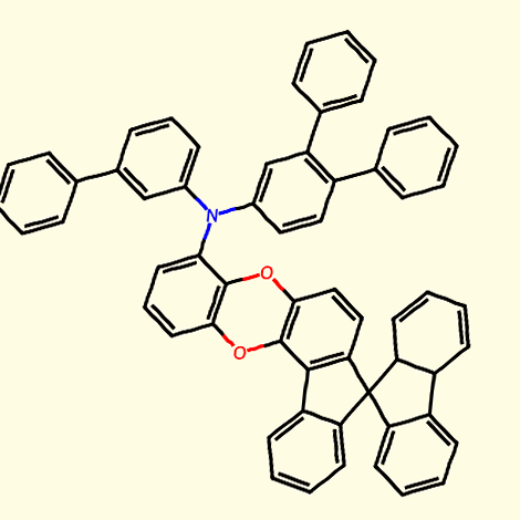 C1=CC2c3ccccc3C3(c4ccccc4-c4c3ccc3c4Oc4cccc(N(c5cccc(-c6ccccc6)c5)c5ccc(-c6ccccc6)c(-c6ccccc6)c5)c4O3)C2C=C1